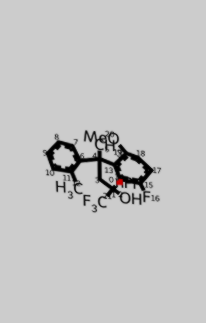 CCCC(O)(CC(C)(c1ccccc1C)c1cc(F)ccc1OC)C(F)(F)F